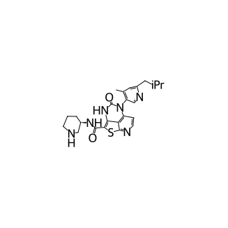 Cc1cc(CC(C)C)ncc1N1C(=O)Nc2c(C(=O)N[C@@H]3CCCNC3)sc3nccc1c23